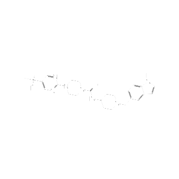 C[C@@H]1CN(c2ncc(C(F)(F)F)cn2)C[C@H](C)N1C(=O)NC1CCN(Cc2ccc3[nH]ccc3c2)CC1